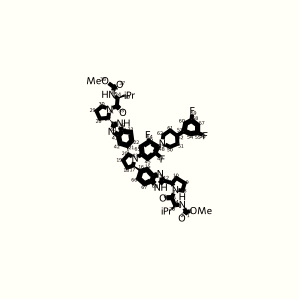 COC(=O)N[C@H](C(=O)N1CCCC1c1nc2cc([C@H]3CC[C@H](c4ccc5[nH]c([C@@H]6CCCN6C(=O)[C@@H](NC(=O)OC)C(C)C)nc5c4)N3c3cc(F)c(N4CCC(c5cc(F)cc(F)c5)CC4)c(F)c3)ccc2[nH]1)C(C)C